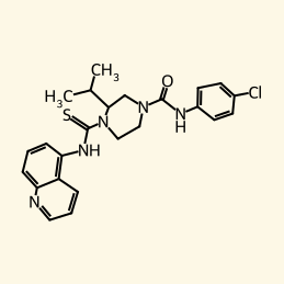 CC(C)C1CN(C(=O)Nc2ccc(Cl)cc2)CCN1C(=S)Nc1cccc2ncccc12